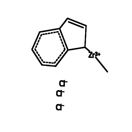 [CH3][Zr+3][CH]1C=Cc2ccccc21.[Cl-].[Cl-].[Cl-]